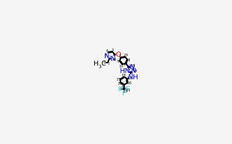 CCc1nccc(Oc2ccc(-c3nnc(Nc4cccc(C(F)(F)F)c4)[nH]3)cc2)n1